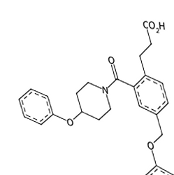 O=C(O)CCc1ccc(COc2ccccc2)cc1C(=O)N1CCC(Oc2ccccc2)CC1